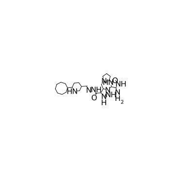 NC1NONC1N1NNC(C(=O)N/N=C/C2CCC(C3CCCCCCC3)NC2)C1CN1CCCC1